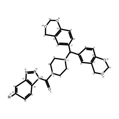 O=C(N1CCN(C(c2ccc3c(c2)COCO3)c2ccc3c(c2)COCO3)CC1)n1nnc2cc(Br)ccc21